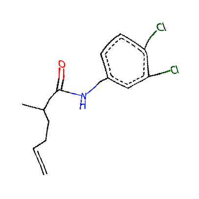 C=CCC(C)C(=O)Nc1ccc(Cl)c(Cl)c1